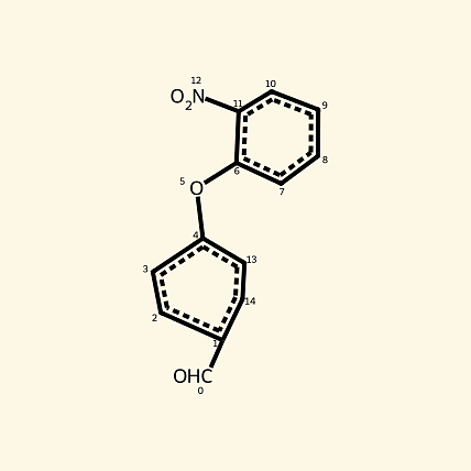 O=Cc1ccc(Oc2ccccc2[N+](=O)[O-])cc1